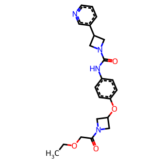 CCOCC(=O)N1CC(Oc2ccc(NC(=O)N3CC(c4cccnc4)C3)cc2)C1